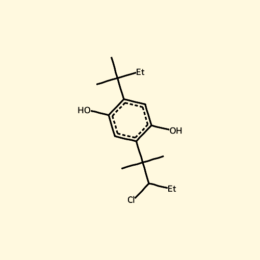 CCC(Cl)C(C)(C)c1cc(O)c(C(C)(C)CC)cc1O